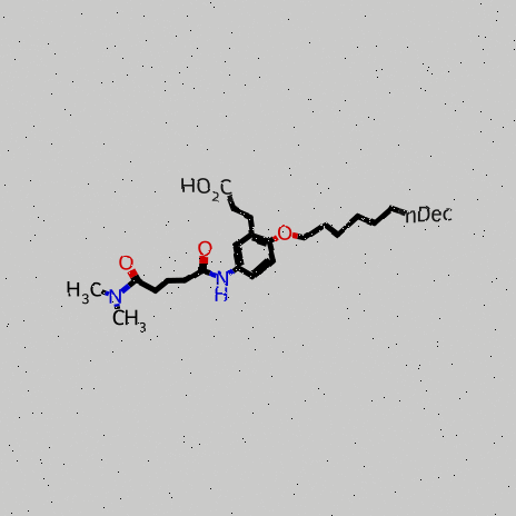 CCCCCCCCCCCCCCCCOc1ccc(NC(=O)CCCC(=O)N(C)C)cc1CCC(=O)O